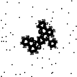 c1ccc(N2c3cc4c(cc3B3Oc5ccccc5-c5cccc2c53)B2Oc3ccccc3-c3cccc(c32)O4)cc1